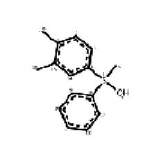 [CH2]c1ccc(S(C)(O)c2ccccc2)cc1C